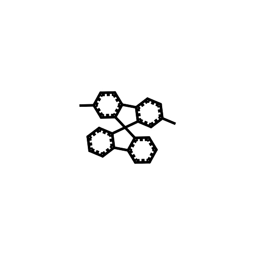 Cc1ccc2c(c1)C1(c3ccccc3-c3ccccc31)c1cc(C)ccc1-2